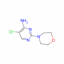 Nc1nc(N2CCOCC2)ncc1Cl